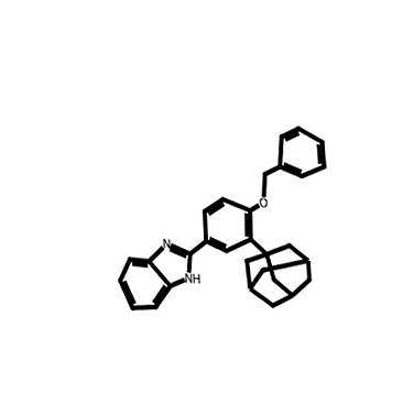 c1ccc(COc2ccc(-c3nc4ccccc4[nH]3)cc2C23CC4CC(CC(C4)C2)C3)cc1